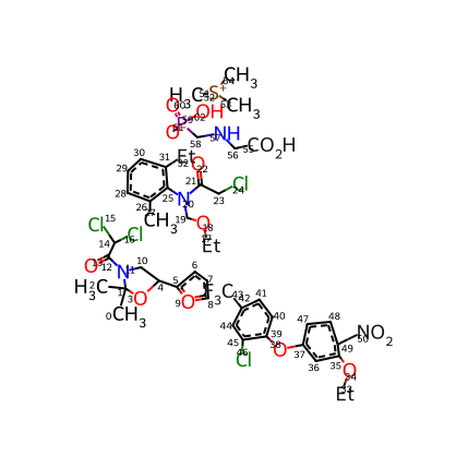 CC1(C)OC(c2ccco2)CN1C(=O)C(Cl)Cl.CCOCN(C(=O)CCl)c1c(C)cccc1CC.CCOc1cc(Oc2ccc(C(F)(F)F)cc2Cl)ccc1[N+](=O)[O-].C[S+](C)C.O=C(O)CNCP(=O)([O-])O